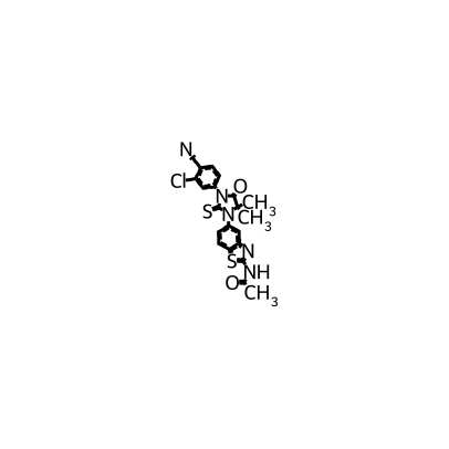 CC(=O)Nc1nc2cc(N3C(=S)N(c4ccc(C#N)c(Cl)c4)C(=O)C3(C)C)ccc2s1